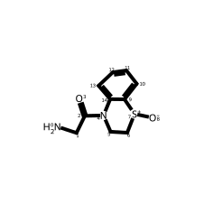 NCC(=O)N1CC[S+]([O-])c2ccccc21